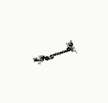 Cn1c(=O)n([C@H]2CCC(=O)NC2=O)c2ccc(CCCOCCOCCOCCN3CCN(Cc4ccc(-c5c[nH]c6nc(NCCC(F)(F)F)ncc56)cc4)CC3)cc21